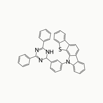 c1ccc(C2=NC(c3cccc(-n4c5ccccc5c5ccc6c7ccccc7sc6c54)c3)NC(c3ccccc3)=N2)cc1